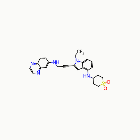 O=S1(=O)CCC(Nc2cccc3c2cc(C#CCNc2ccc4nccnc4c2)n3CC(F)(F)F)CC1